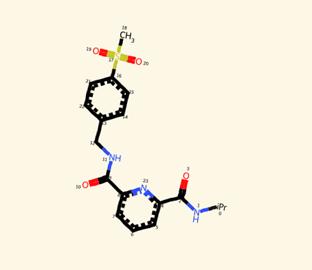 CC(C)NC(=O)c1cccc(C(=O)NCc2ccc(S(C)(=O)=O)cc2)n1